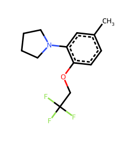 Cc1ccc(OCC(F)(F)F)c(N2CCCC2)c1